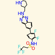 O=S(=O)(CCC(F)(F)F)Nc1ccc(-c2ccc3nc(NCC4CCCNC4)ncc3c2)c(F)c1F